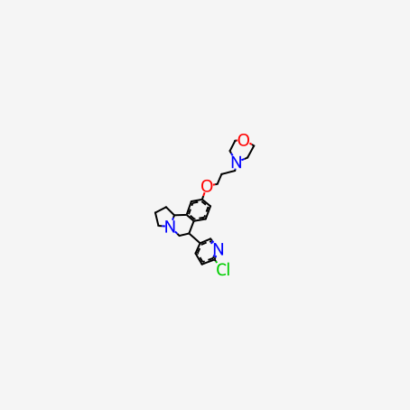 Clc1ccc(C2CN3CCCC3c3cc(OCCCN4CCOCC4)ccc32)cn1